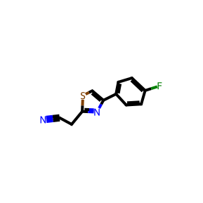 N#CCc1nc(-c2ccc(F)cc2)cs1